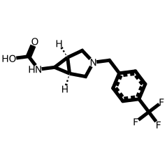 O=C(O)NC1[C@H]2CN(Cc3ccc(C(F)(F)F)cc3)C[C@@H]12